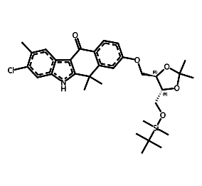 Cc1cc2c3c([nH]c2cc1Cl)C(C)(C)c1cc(OC[C@H]2OC(C)(C)O[C@@H]2CO[Si](C)(C)C(C)(C)C)ccc1C3=O